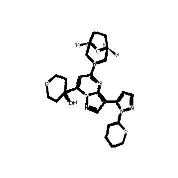 OC1(c2cc(N3C[C@H]4CC[C@@H](C3)O4)nc3c(-c4ccnn4C4CCCCO4)cnn23)CCOCC1